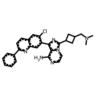 CN(C)CC1CC(c2nc(-c3cc4nc(-c5ccccc5)ccc4cc3Cl)c3c(N)nccn23)C1